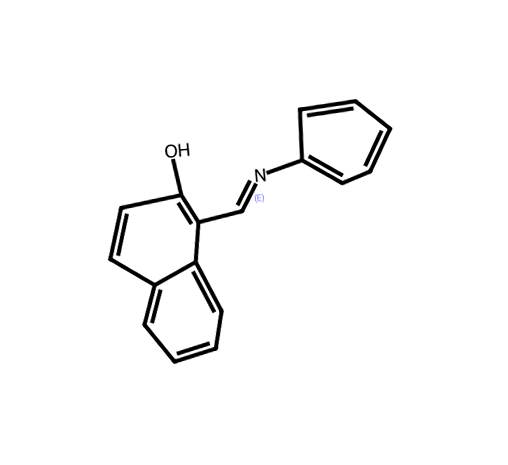 Oc1ccc2ccccc2c1/C=N/c1ccccc1